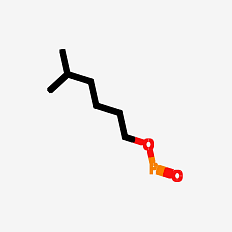 CC(C)CCCCOP=O